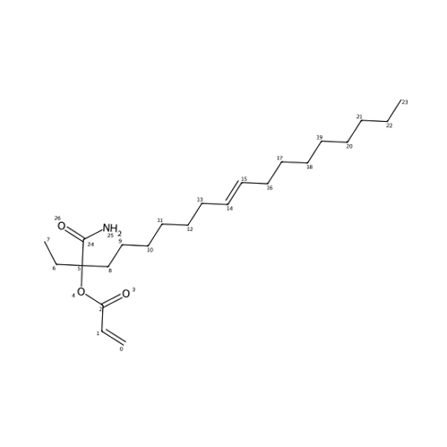 C=CC(=O)OC(CC)(CCCCCCC=CCCCCCCCC)C(N)=O